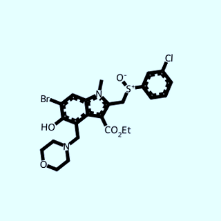 CCOC(=O)c1c(C[S+]([O-])c2cccc(Cl)c2)n(C)c2cc(Br)c(O)c(CN3CCOCC3)c12